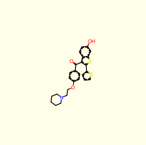 O=C(c1ccc(OCCN2CCCCC2)cc1)c1c(-c2cccs2)sc2cc(O)ccc12